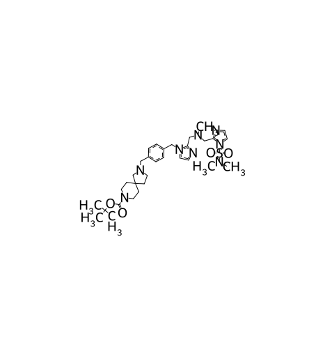 CN(Cc1nccn1Cc1ccc(CN2CCC3(CCN(C(=O)OC(C)(C)C)CC3)C2)cc1)Cc1nccn1S(=O)(=O)N(C)C